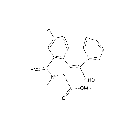 COC(=O)CN(C)C(=N)c1cc(F)ccc1C=C(C=O)c1ccccc1